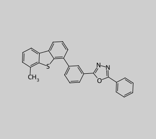 Cc1cccc2c1sc1c(-c3cccc(-c4nnc(-c5ccccc5)o4)c3)cccc12